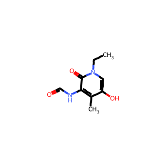 CCn1cc(O)c(C)c(NC=O)c1=O